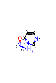 NN=O.c1cncnc1